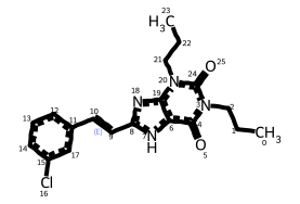 CCCn1c(=O)c2[nH]c(/C=C/c3cccc(Cl)c3)nc2n(CCC)c1=O